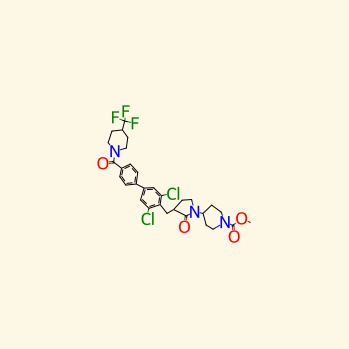 COC(=O)N1CCC(N2CCC(Cc3c(Cl)cc(-c4ccc(C(=O)N5CCC(C(F)(F)F)CC5)cc4)cc3Cl)C2=O)CC1